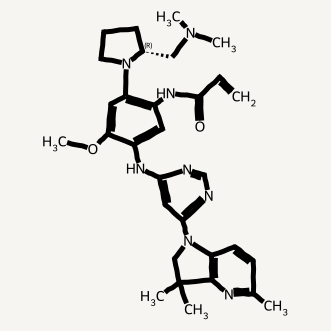 C=CC(=O)Nc1cc(Nc2cc(N3CC(C)(C)c4nc(C)ccc43)ncn2)c(OC)cc1N1CCC[C@@H]1CN(C)C